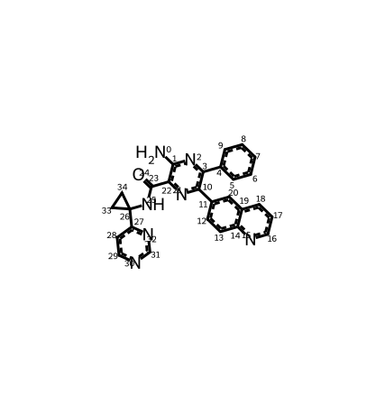 Nc1nc(-c2ccccc2)c(-c2ccc3ncccc3c2)nc1C(=O)NC1(c2ccncn2)CC1